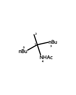 CCCCC(C)(CCCC)NC(C)=O